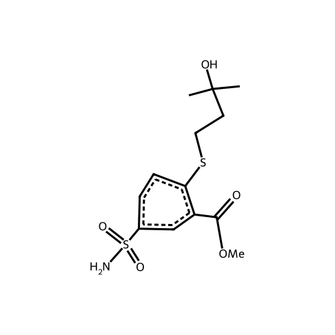 COC(=O)c1cc(S(N)(=O)=O)ccc1SCCC(C)(C)O